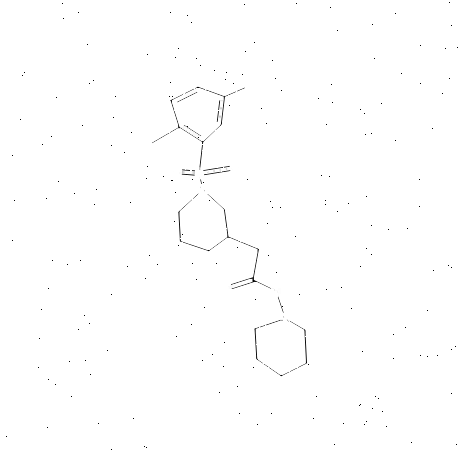 Cc1ccc(F)cc1S(=O)(=O)N1CCCC(CC(=O)NN2CCCCC2)C1